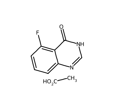 CC(=O)O.O=c1[nH]cnc2cccc(F)c12